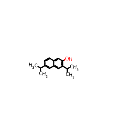 CC(C)c1ccc2cc(O)c(C(C)C)cc2c1